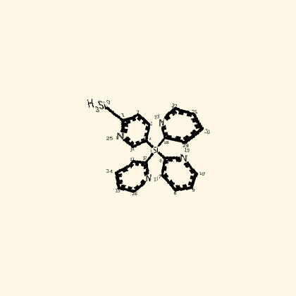 [SiH3]c1ccc([Si](c2ccccn2)(c2ccccn2)c2ccccn2)cn1